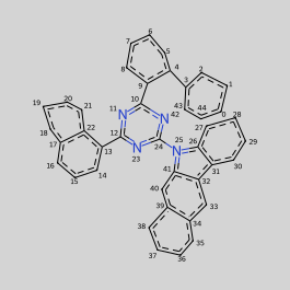 c1ccc(-c2ccccc2-c2nc(-c3cccc4ccccc34)nc(-n3c4ccccc4c4cc5ccccc5cc43)n2)cc1